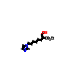 CCOC(=O)C(CO)CCCCCCn1ccnc1